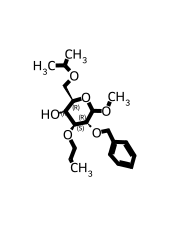 CCCO[C@H]1[C@H](O)[C@@H](COC(C)C)OC(OC)[C@@H]1OCc1ccccc1